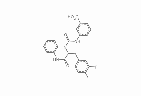 O=C(O)c1cccc(NC(=O)N2c3ccccc3NC(=O)C2Cc2ccc(F)c(F)c2)c1